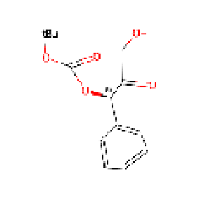 CC(C)(C)OC(=O)O[C@@H](C(=O)CO)c1ccccc1